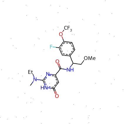 CCN(C)c1nc(C(=O)NC(COC)c2ccc(OC(F)(F)F)c(F)c2)cc(=O)[nH]1